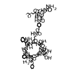 CCC(=O)CCC(=O)N[C@H](C(=O)N[C@@H](CCCNC(N)=O)C(=O)Nc1ccc(COC(=O)NCCCC[C@@H]2NC(=O)[C@@H](Cc3c[nH]c4ccccc34)NC(=O)[C@H](Cc3ccccc3)NC(=O)[C@@H](NC(=O)[C@H](N)Cc3ccccc3)CSSC[C@@H](C(=O)N[C@H](CO)[C@@H](C)O)NC(=O)C([C@@H](C)O)NC2=O)cc1)C(C)C